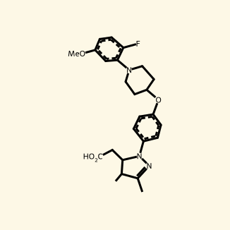 COc1ccc(F)c(N2CCC(Oc3ccc(N4N=C(C)C(C)C4CC(=O)O)cc3)CC2)c1